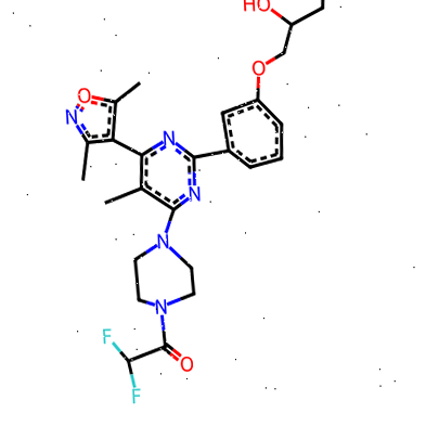 CNCC(O)COc1cccc(-c2nc(-c3c(C)noc3C)c(C)c(N3CCN(C(=O)C(F)F)CC3)n2)c1